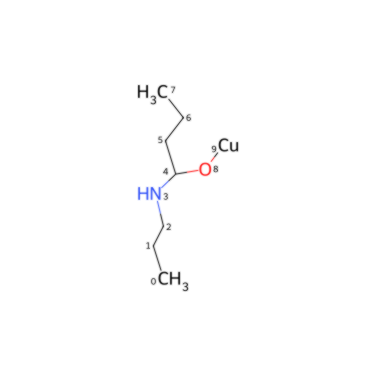 CCCNC(CCC)[O][Cu]